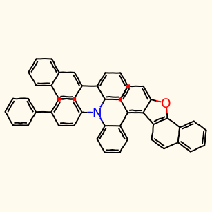 c1ccc(-c2ccc(N(c3ccccc3-c3ccc4ccccc4c3)c3ccccc3-c3cccc4oc5c6ccccc6ccc5c34)cc2)cc1